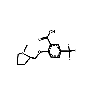 CN1CCCC1COc1ccc(C(F)(F)F)cc1C(=O)O